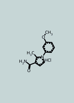 COc1cccc(-n2ccc(C(N)=O)c2C)c1.Cl